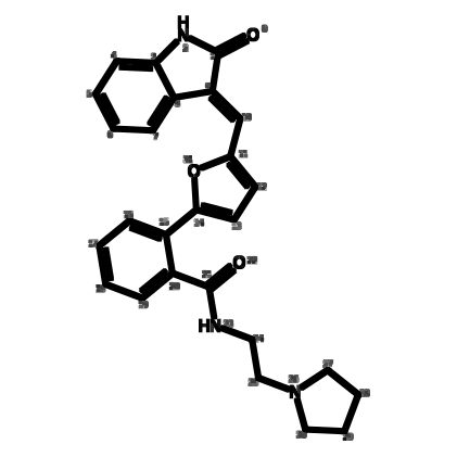 O=C1Nc2ccccc2/C1=C\c1ccc(-c2ccccc2C(=O)NCCN2CCCC2)o1